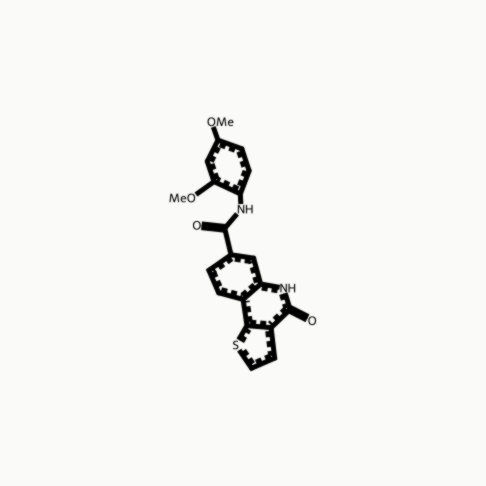 COc1ccc(NC(=O)c2ccc3c(c2)[nH]c(=O)c2ccsc23)c(OC)c1